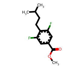 COC(=O)c1cc(F)c(CCC(C)C)c(F)c1